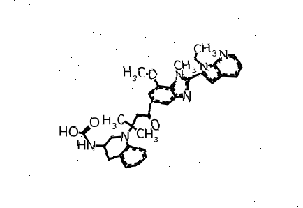 CCn1c(-c2nc3cc(C(=O)CC(C)(C)N4CC(NC(=O)O)Cc5ccccc54)cc(OC)c3n2C)cc2cccnc21